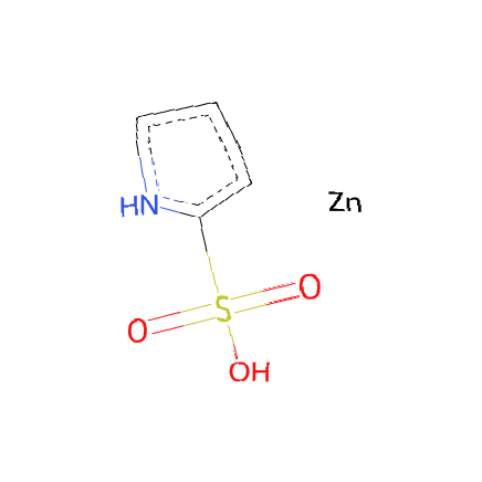 O=S(=O)(O)c1ccc[nH]1.[Zn]